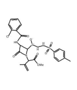 C=C(C)C(C(=O)OC)N1C(=O)C(NC(=O)c2ccccc2Cl)C1[S+]([O-])NNS(=O)(=O)c1ccc(C)cc1